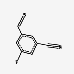 N#Cc1cc(F)cc(C=S)c1